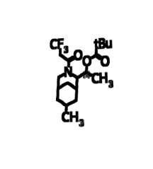 CC1CC2CC(C1)C([C@H](C)OC(=O)C(C)(C)C)N(C(=O)CC(F)(F)F)C2